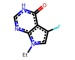 CCn1cc(F)c2c(=O)[nH]cnc21